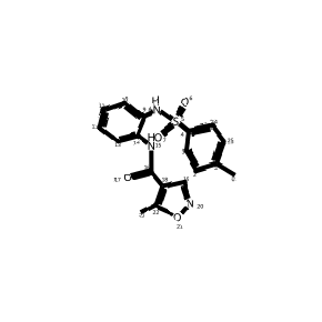 Cc1ccc(S(=O)(=O)Nc2ccccc2NC(=O)c2cnoc2C)cc1